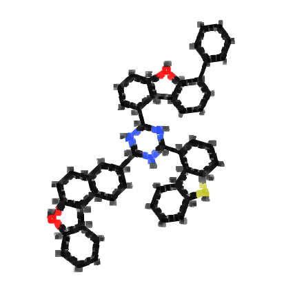 c1ccc(-c2cccc3c2oc2cccc(-c4nc(-c5ccc6c(ccc7oc8ccccc8c76)c5)nc(-c5cccc6sc7ccccc7c56)n4)c23)cc1